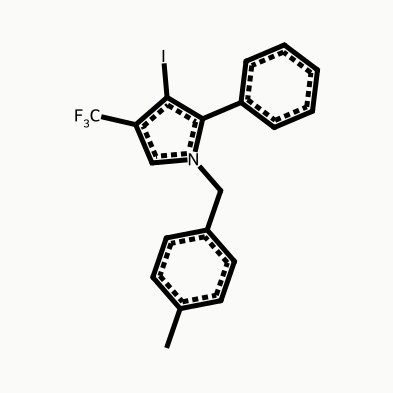 Cc1ccc(Cn2cc(C(F)(F)F)c(I)c2-c2ccccc2)cc1